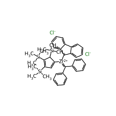 C[Si](C)(C)C1=C([Si](C)(C)C)C([Si](C)(C)C)[C]([Zr+2](=[C](c2ccccc2)c2ccccc2)[CH]2c3ccccc3-c3ccccc32)=C1.[Cl-].[Cl-]